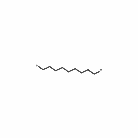 FCCCCCCCCCF